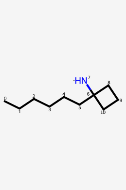 CCCCCCC1([NH])CCC1